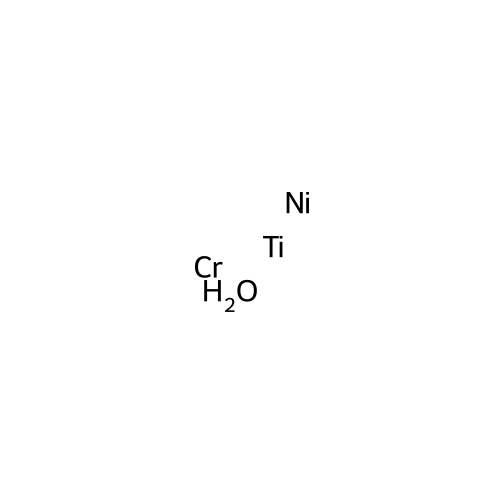 O.[Cr].[Ni].[Ti]